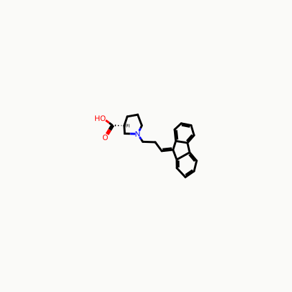 O=C(O)[C@@H]1CCCN(CCC=C2c3ccccc3-c3ccccc32)C1